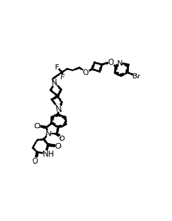 O=C1CCC(N2C(=O)c3ccc(N4CC5(CN(CC(F)(F)CCCOC6CC(Oc7ccc(Br)cn7)C6)C5)C4)cc3C2=O)C(=O)N1